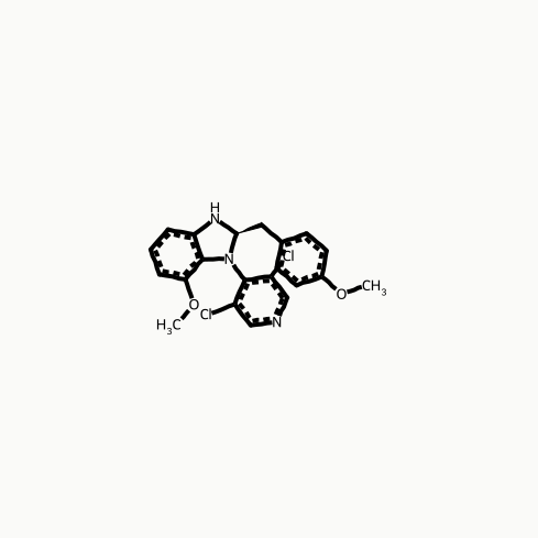 COc1ccc(C[C@@H]2Nc3cccc(OC)c3N2c2c(Cl)cncc2Cl)cc1